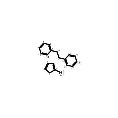 [Hf][C]1=CC=CC1.c1ccc(CCc2ccccc2)cc1